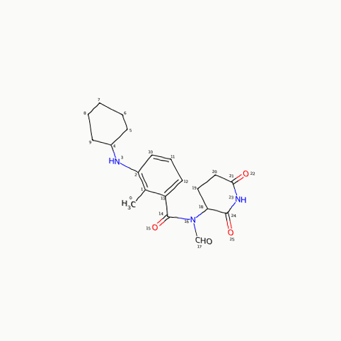 Cc1c(NC2CCCCC2)cccc1C(=O)N(C=O)C1CCC(=O)NC1=O